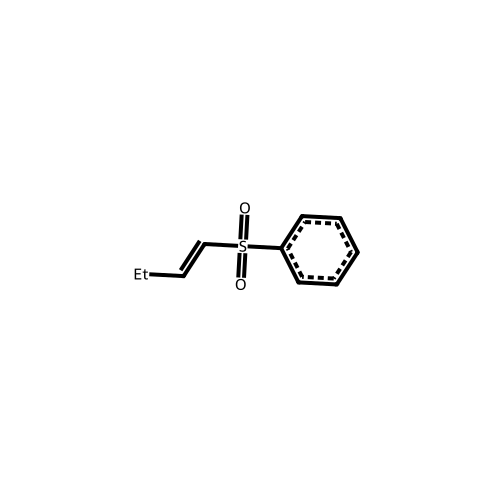 CCC=CS(=O)(=O)c1ccccc1